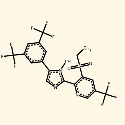 CCS(=O)(=O)c1cc(C(F)(F)F)cnc1-c1ncc(-c2cc(C(F)(F)F)cc(C(F)(F)F)c2)n1C